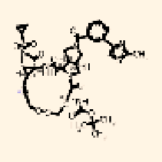 Cc1nc(-c2cccc(C(=O)N3C[C@H]4CN5C(=O)[C@H](NC(=O)OC(C)(C)C)CCCCC/C=C\[C@H]6C[C@@]6(C(=O)NS(=O)(=O)C6CC6)NC(=O)[C@@H]5[C@H]4C3)c2)cs1